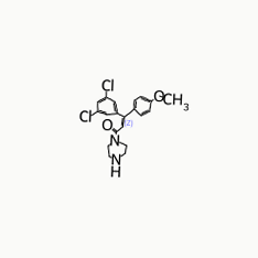 COc1ccc(/C(=C/C(=O)N2CCNCC2)c2cc(Cl)cc(Cl)c2)cc1